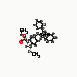 CCCCCC(=O)OCC.c1ccc([CH2][SnH]([CH2]c2ccccc2)[CH2]c2ccccc2)cc1